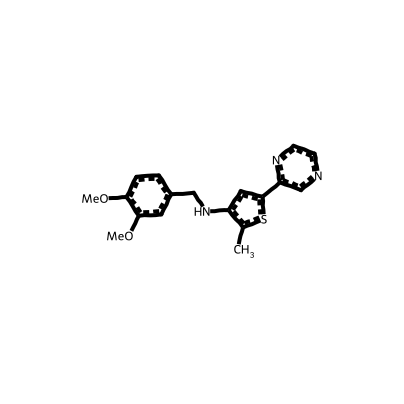 COc1ccc(CNc2cc(-c3cnccn3)sc2C)cc1OC